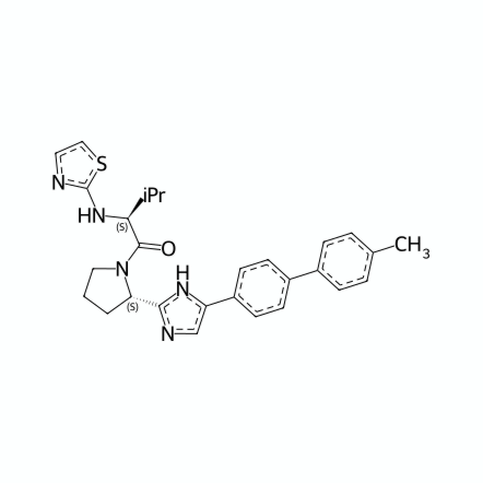 Cc1ccc(-c2ccc(-c3cnc([C@@H]4CCCN4C(=O)[C@@H](Nc4nccs4)C(C)C)[nH]3)cc2)cc1